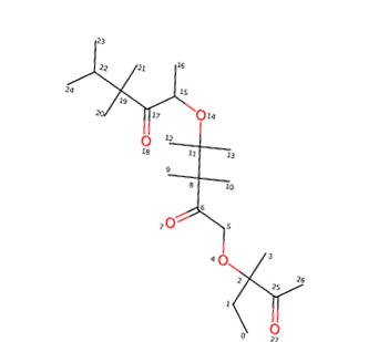 CCC(C)(OCC(=O)C(C)(C)C(C)(C)OC(C)C(=O)C(C)(C)C(C)C)C(C)=O